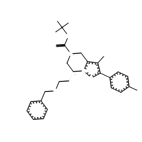 CC(C)(C)OC(=O)N1Cc2c(I)c(-c3ccc(F)cc3)nn2[C@H](CCOCc2ccccc2)C1